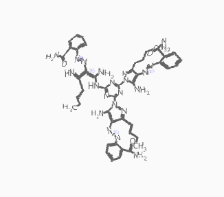 CCCCC(=N)C(/N=N/c1ccccc1C(N)=O)=C(/N)Nc1nc(-n2nc(CCCC)c(/N=N/c3ccccc3C(N)=O)c2N)nc(-n2nc(CCCC)c(/N=N/c3ccccc3C(N)=O)c2N)n1